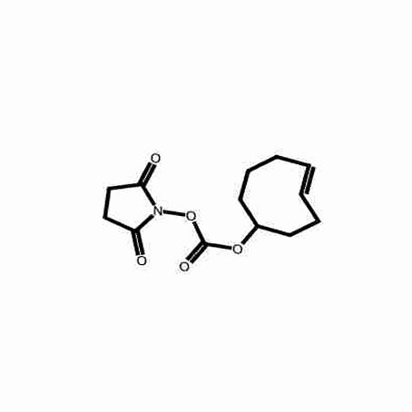 O=C(OC1CC/C=C/CCC1)ON1C(=O)CCC1=O